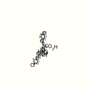 Cl.O=C(COc1ccc(Cl)cc1)NC1[C@H]2CN(C(CCOc3ccc(Cl)cc3)C(=O)O)C[C@@H]12